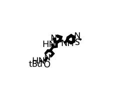 CC(C)(C)NC(=O)N1CC=C(C2Cc3c(Nc4ccc5ncsc5c4)ccnc3N2)CC1